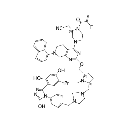 C=C(F)C(=O)N1CCN(c2nc(OC[C@@H]3CC[C@H](CN4CCN(Cc5ccc(-n6c(O)nnc6-c6cc(C(C)C)c(O)cc6O)cc5)CC4)N3C)nc3c2CCN(c2cccc4ccccc24)C3)C[C@@H]1CC#N